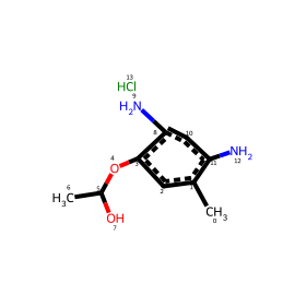 Cc1cc(OC(C)O)c(N)cc1N.Cl